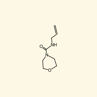 C=CCNC(=O)N1CCOCC1